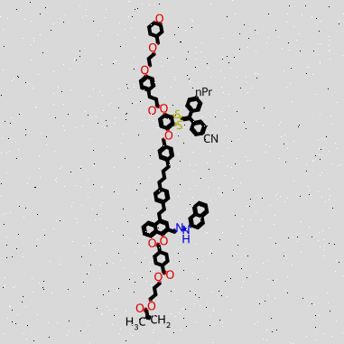 C=C(C)C(=O)OCCCCOC(=O)C1CCC(C(=O)Oc2c(/C=N/Nc3ccc4ccccc4c3)cc(CCc3ccc(CCCCc4ccc(COc5ccc(OC(=O)CCc6ccc(OCCCOCC7CCC8OC8C7)cc6)c6c5S/C(=C(\c5ccc(C#N)cc5)c5ccc(CCC)cc5)S6)cc4)cc3)c3ccccc23)CC1